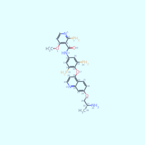 COc1ccnc(P)c1C(=O)Nc1cc(P)c(Oc2ccnc3cc(OC[C@H](C)N)ccc23)c(P)c1